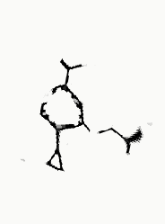 Cl.O=C(O)c1cc(OCC(F)F)c(C2CC2)cn1